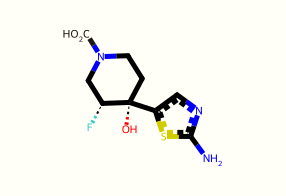 Nc1ncc([C@]2(O)CCN(C(=O)O)C[C@H]2F)s1